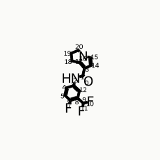 O=C(Nc1ccc(F)c(C(F)F)c1)c1ccn2c1CCC2